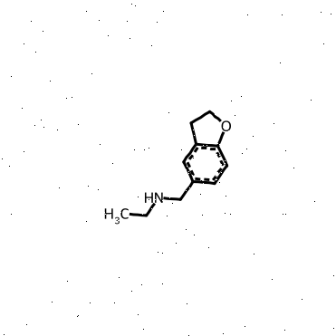 CCNCc1ccc2c(c1)CCO2